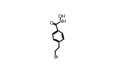 O=C(NO)c1ccc(CCBr)cc1